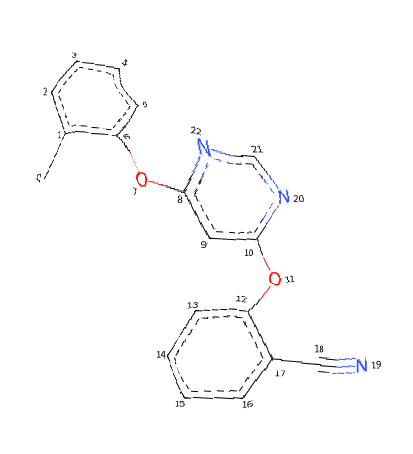 [CH2]c1ccccc1Oc1cc(Oc2ccccc2C#N)ncn1